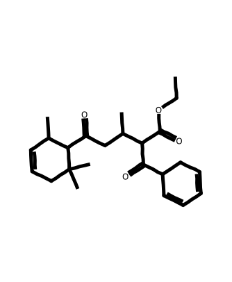 CCOC(=O)C(C(=O)C1C=CC=CC1)C(C)CC(=O)C1C(C)C=CCC1(C)C